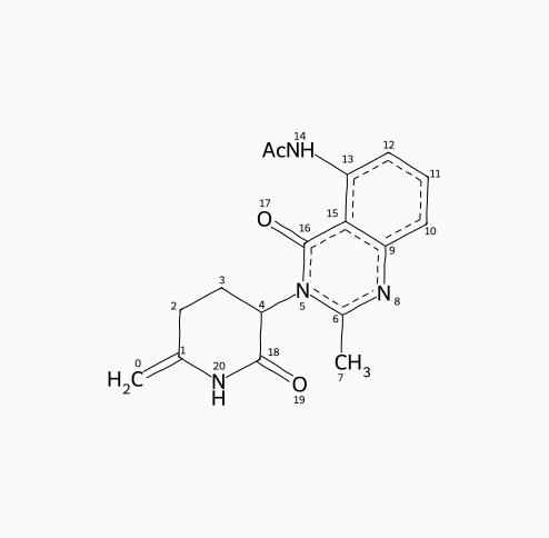 C=C1CCC(n2c(C)nc3cccc(NC(C)=O)c3c2=O)C(=O)N1